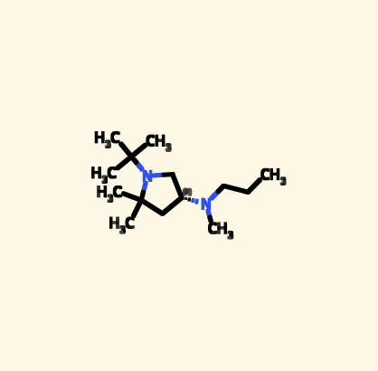 CCCN(C)[C@H]1CN(C(C)(C)C)C(C)(C)C1